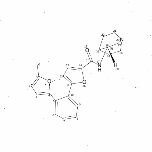 Cc1ccc(-c2ccccc2-c2ccc(C(=O)N[C@H]3CN4CCC3CC4)o2)o1